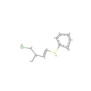 CC(C=CSc1ccccc1)CCl